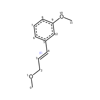 COC/C=C/c1cc[c]c(OC)c1